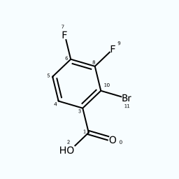 O=C(O)c1ccc(F)c(F)c1Br